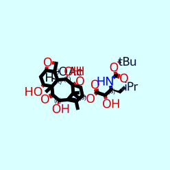 CC(=O)O[C@@]12COC1CC(O)C1(C)C(=O)[C@H](O)C3=C(C)[C@@H](OC(=O)C(O)[C@H](CC(C)C)NC(=O)OC(C)(C)C)CC(O)([C@@H](O)[C@@H]12)C3(C)C